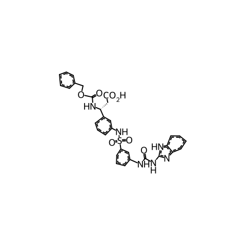 O=C(O)C[C@@H](NC(=O)OCc1ccccc1)c1cccc(NS(=O)(=O)c2cccc(NC(=O)Nc3nc4ccccc4[nH]3)c2)c1